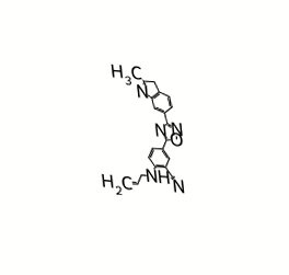 C=CCNc1ccc(-c2nc(-c3ccc4c(c3)N=C(C)C4)no2)cc1C#N